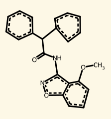 COc1cccc2onc(NC(=O)C(c3ccccc3)c3ccccc3)c12